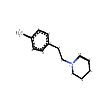 Cc1ccc(CCN2CC[CH]CC2)cc1